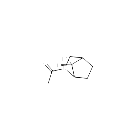 CC(=O)N1CC2CCC1[C@@H]2N